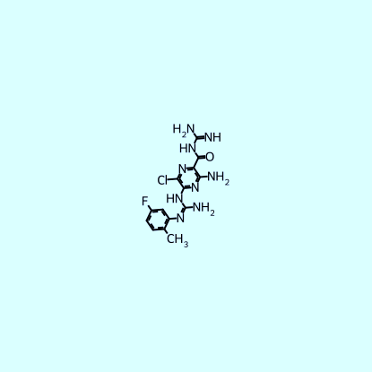 Cc1ccc(F)cc1N=C(N)Nc1nc(N)c(C(=O)NC(=N)N)nc1Cl